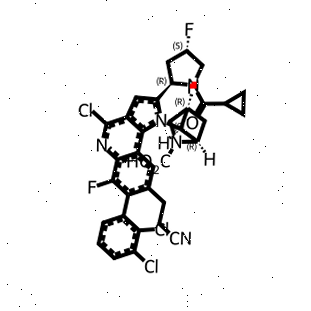 N#CCCc1cc2c(nc(Cl)c3cc([C@H]4C[C@H](F)CN4C(=O)C4CC4)n([C@H]4[C@@H]5C[C@H]4N(C(=O)O)C5)c32)c(F)c1-c1cccc(Cl)c1Cl